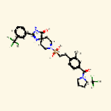 Cc1cc(C(=O)N2CCC[C@H]2C(F)(F)F)ccc1CCS(=O)(=O)N1CCC2(CC1)N=C(c1cccc(C(F)(F)F)c1)NC2=O